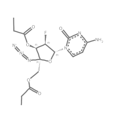 CCC(=O)OC[C@@]1(N=[N+]=[N-])O[C@@H](n2ccc(N)nc2=O)[C@H](F)[C@@H]1OC(=O)CC